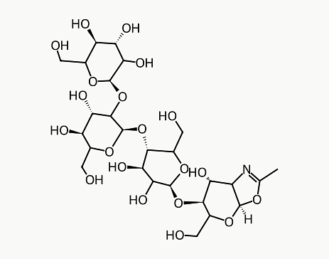 CC1=NC2[C@@H](O1)OC(CO)[C@@H](O[C@@H]1OC(CO)[C@@H](O[C@H]3OC(CO)[C@@H](O)[C@H](O)C3O[C@H]3OC(CO)[C@@H](O)[C@H](O)C3O)[C@H](O)C1O)[C@@H]2O